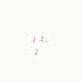 CCC(O)O.CCC(O)O.CCC(O)O.CN